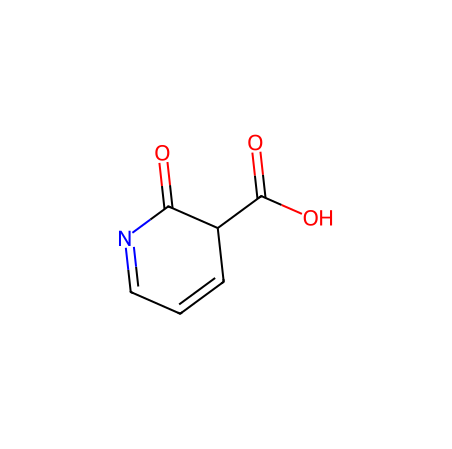 O=C(O)C1C=CC=NC1=O